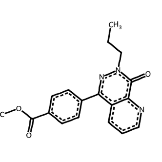 CCCn1nc(-c2ccc(C(=O)OC)cc2)c2cccnc2c1=O